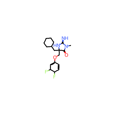 CN1C(=N)NC(COC2=CC(F)C(F)C=C2)(CC2CCCCC2)C1=O